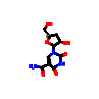 NC(=O)c1cn(C2O[C@H](CO)CC2O)c(=O)[nH]c1=O